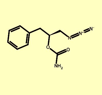 [N-]=[N+]=NC[C@H](Cc1ccccc1)OC(N)=O